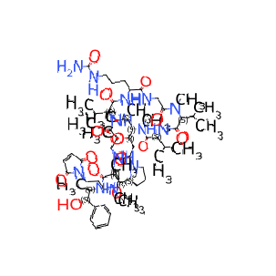 CC[C@H](C)[C@@H]([C@@H](CC(=O)N1CCC[C@H]1[C@H](OC)[C@@H](C)C(=O)N[C@H](C)[C@@H](O)c1ccccc1)OC)N(C)C(=O)[C@@H](NC(=O)[C@H](C(C)C)N(C)C(=O)CNC(=O)C(CCCNC(N)=O)NC(=O)[C@@H](NC(=O)CCNCCN(C)CCCN1C(=O)C=CC1=O)C(C)C)C(C)C